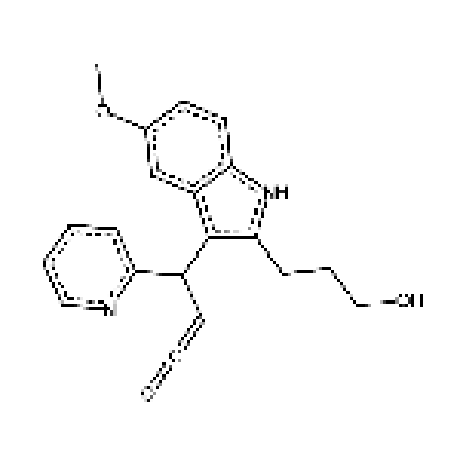 COc1ccc2[nH]c(CCCO)c(C(C=C=O)c3ccccn3)c2c1